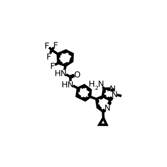 Cn1nc(N)c2c(-c3ccc(NC(=O)Nc4cccc(C(F)(F)F)c4F)cc3)cc(C3CC3)nc21